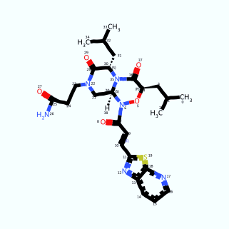 CC(C)C[C@H]1ON(C(=O)/C=C/c2nc3cccnc3s2)[C@H]2CN(CCC(N)=O)C(=O)[C@H](CC(C)C)N2C1=O